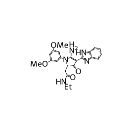 CCNC(=O)CC1C(=O)C(c2nc3ccccc3[nH]2)=C(N)N1c1cc(OC)cc(OC)c1